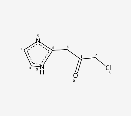 O=C(CCl)Cc1ncc[nH]1